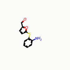 Nc1ccccc1Sc1ccc(C=O)o1